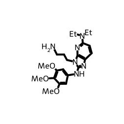 CCN(CC)c1ccc2nc(Nc3cc(OC)c(OC)c(OC)c3)n(CCCN)c2n1